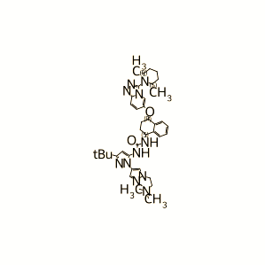 C[C@@H]1CCC[C@H](C)N1c1nnc2ccc(O[C@@H]3CC[C@H](NC(=O)Nc4cc(C(C)(C)C)nn4-c4cnn(CCN(C)C)c4)c4ccccc43)cn12